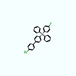 Fc1ccc([Si](c2ccccc2)(c2ccccc2)c2ccc(-c3ccc(Br)cc3)cc2)cc1